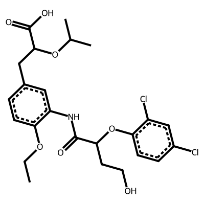 CCOc1ccc(CC(OC(C)C)C(=O)O)cc1NC(=O)C(CCO)Oc1ccc(Cl)cc1Cl